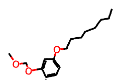 CCCCCCCCOc1cc[c]c(OCOC)c1